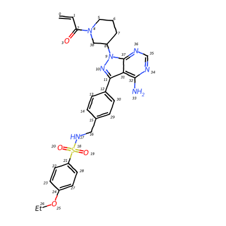 C=CC(=O)N1CCCC(n2nc(-c3ccc(CNS(=O)(=O)c4ccc(OCC)cc4)cc3)c3c(N)ncnc32)C1